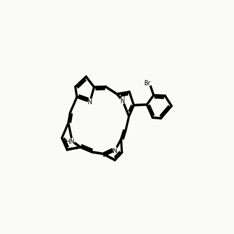 Brc1ccccc1-c1cc2cc3nc(cc4ccc(cc5nc(cc1[nH]2)C=C5)[nH]4)C=C3